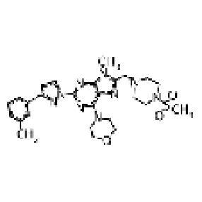 Cc1cccc(-c2ccn(-c3nc(N4CCOCC4)c4nc(CN5CCN(S(C)(=O)=O)CC5)n(C)c4n3)n2)c1